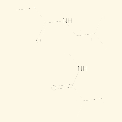 CCC(=O)N[C@@H](CNC(=O)C(C)C)C(C)C